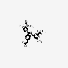 Cc1cc(-n2nc(N3CCC(C)(N(C)C)C3)c3cnc(CC(N)=O)cc32)nc(C(C)(F)F)n1